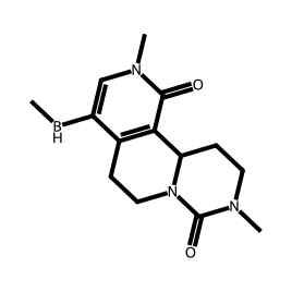 CBc1cn(C)c(=O)c2c1CCN1C(=O)N(C)CCC21